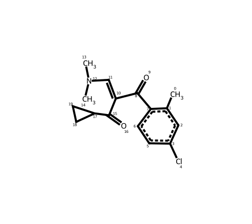 Cc1cc(Cl)ccc1C(=O)C(=CN(C)C)C(=O)C1CC1